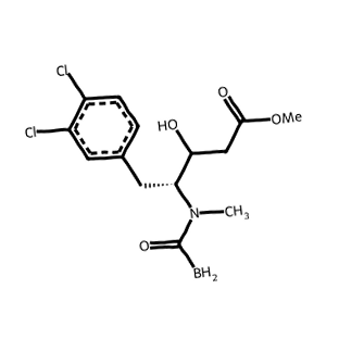 BC(=O)N(C)[C@H](Cc1ccc(Cl)c(Cl)c1)C(O)CC(=O)OC